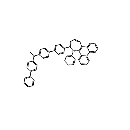 CN(c1ccc(-c2ccccc2)cc1)c1ccc(-c2ccc(C3=CC=Cc4c(c5ccccc5c5ccccc45)N3C3=CCCC=C3)cc2)cc1